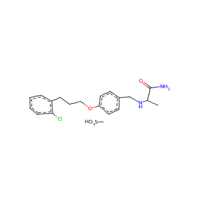 CC(NCc1ccc(OCCCc2ccccc2Cl)cc1)C(N)=O.CS(=O)(=O)O